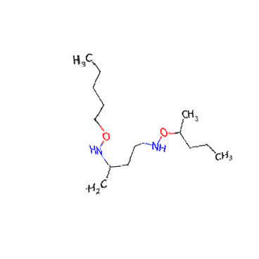 [CH2]C(CCNOC(C)CCC)NOCCCCC